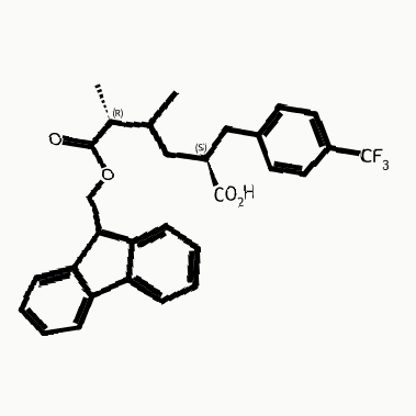 CC(C[C@@H](Cc1ccc(C(F)(F)F)cc1)C(=O)O)[C@@H](C)C(=O)OCC1c2ccccc2-c2ccccc21